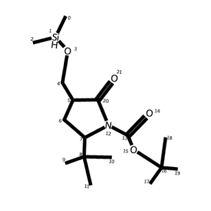 C[SiH](C)OCC1CC(C(C)(C)C)N(C(=O)OC(C)(C)C)C1=O